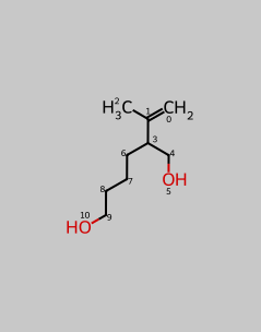 C=C(C)C(CO)CCCCO